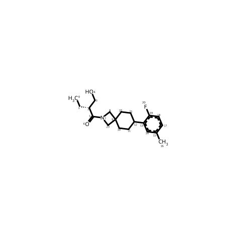 CC[C@H](CO)C(=O)N1CC2(CCC(c3cc(C)ccc3F)CC2)C1